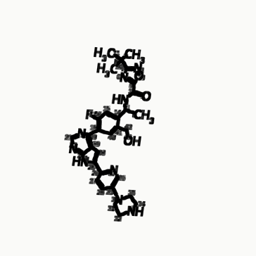 CC(NC(=O)c1nc(C(C)(C)C)no1)c1cc(F)c(-c2ncnc3[nH]c(-c4ccc(N5CCNCC5)cn4)cc23)cc1CO